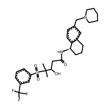 CC(C)(C(O)CC(=O)N[C@@H]1CCCc2cc(CN3CCCCC3)ccc21)S(=O)(=O)c1cccc(C(F)(F)F)c1